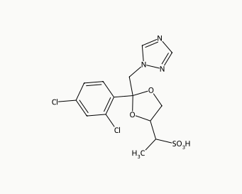 CC(C1COC(Cn2cncn2)(c2ccc(Cl)cc2Cl)O1)S(=O)(=O)O